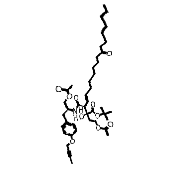 CC#CCOc1ccc(C[C@@H](COC(C)=O)NC(=O)[C@@H](/C=C/CCCCCCC(=O)CCCCCCC)[C@@](O)(CCOC(C)=O)C(=O)OC(C)(C)C)cc1